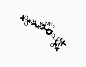 CC(C)(C)OC(=O)NCCCn1cc(-c2ccc(OC[C@H](O[Si](C)(C)C(C)(C)C)C(=O)OC(C)(C)C)cc2)c(N)n1